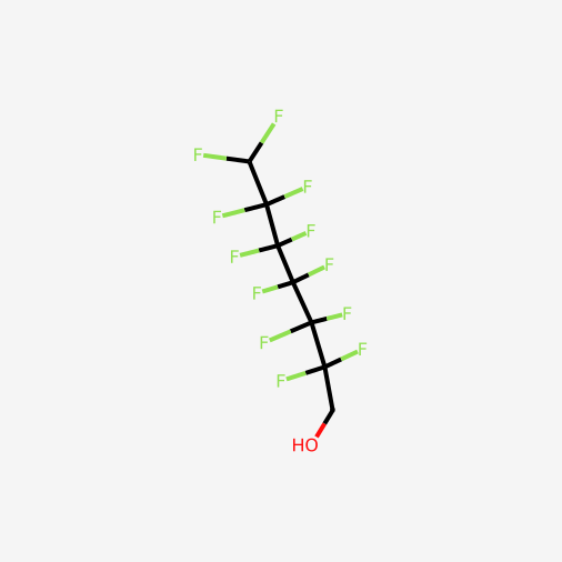 OCC(F)(F)C(F)(F)C(F)(F)C(F)(F)C(F)(F)C(F)F